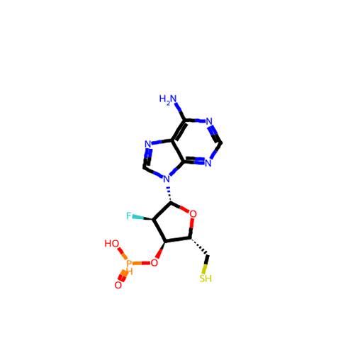 Nc1ncnc2c1ncn2[C@@H]1O[C@H](CS)[C@@H](O[PH](=O)O)[C@H]1F